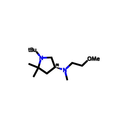 COCCN(C)[C@H]1CN(C(C)(C)C)C(C)(C)C1